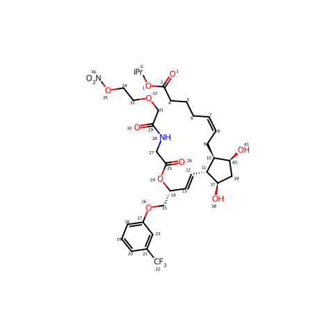 CC(C)OC(=O)CCC/C=C\C[C@@H]1[C@@H](/C=C/[C@H](COc2cccc(C(F)(F)F)c2)OC(=O)CNC(=O)COCCO[N+](=O)[O-])[C@H](O)C[C@@H]1O